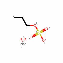 CCCOS(=O)(=O)[O-].O.[Na+]